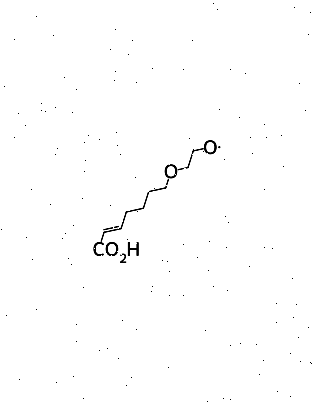 [O]CCOCCCCC=CC(=O)O